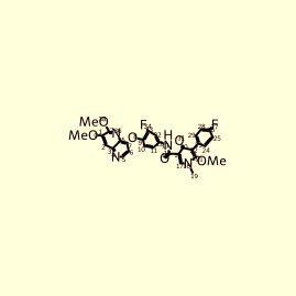 COc1cc2nccc(Oc3ccc(NC(=O)c4cn(C)c(OC)c(-c5ccc(F)cc5)c4=O)cc3F)c2nc1OC